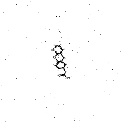 CC(C)C(=O)Cc1ccc2c(c1)Cc1cccnc1O2